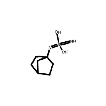 N=S(O)(O)=NC12CCC(CC1)C2